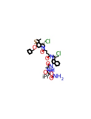 Cc1csc2c(OCc3ccccc3)cc3c(c12)[C@H](CCl)CN3C(=O)CCCC(=O)N1C[C@@H](CCl)c2c1cc(NC(=O)[C@H](C)NC(=O)[C@@H](OC(N)=O)C(C)C)c1ccccc21